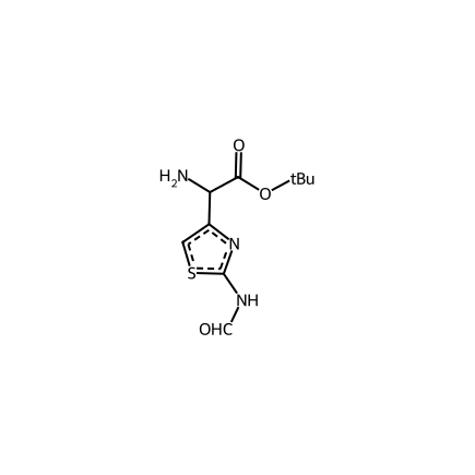 CC(C)(C)OC(=O)C(N)c1csc(NC=O)n1